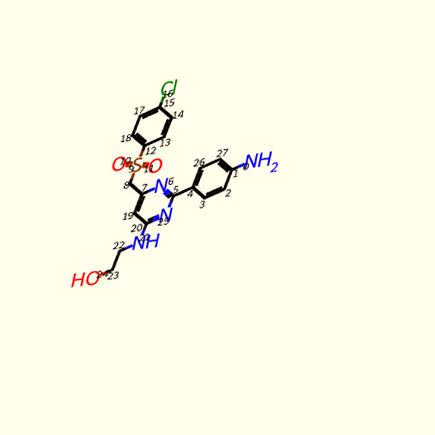 Nc1ccc(-c2nc(CS(=O)(=O)c3ccc(Cl)cc3)cc(NCCO)n2)cc1